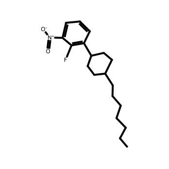 CCCCCCCC1CCC(c2cccc([N+](=O)[O-])c2F)CC1